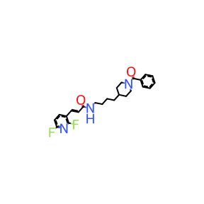 O=C(/C=C/c1ccc(F)nc1F)NCCCCC1CCN(C(=O)c2ccccc2)CC1